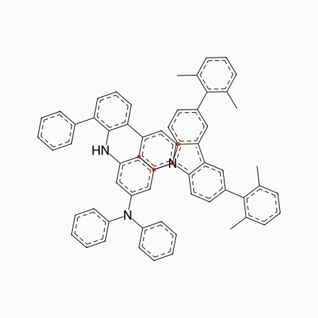 Cc1cccc(C)c1-c1ccc2c(c1)c1cc(-c3c(C)cccc3C)ccc1n2-c1cc(Nc2c(-c3ccccc3)cccc2-c2ccccc2)cc(N(c2ccccc2)c2ccccc2)c1